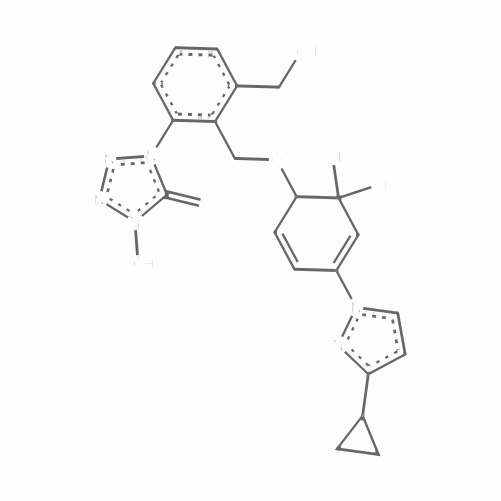 CCc1cccc(-n2nnn(C)c2=O)c1COC1C=CC(n2ccc(C3CC3)n2)=CC1(C)C